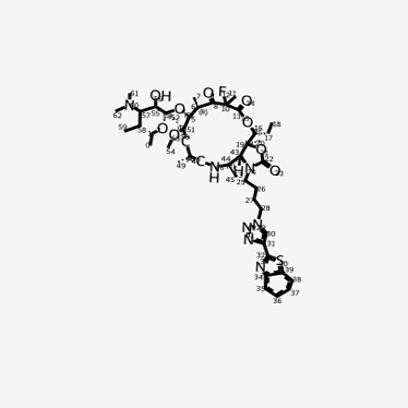 CCO[C@@H](O[C@@H]1[C@@H](C)C(=O)C(C)(F)C(=O)O[C@H](CC)[C@@]2(C)OC(=O)N(CCCCn3cc(-c4nc5ccccc5s4)nn3)[C@@H]2[C@@H](C)NC[C@H](C)C[C@@]1(C)OC)C(O)C(CC)N(C)C